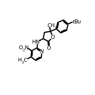 Cc1ccnc(NC2CC(C)(c3ccc(C(C)(C)C)cc3)OC2=O)c1[N+](=O)[O-]